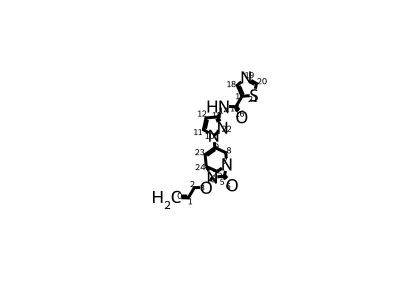 C=CCON1C(=O)N2CC(n3ccc(NC(=O)c4cncs4)n3)=CC1C2